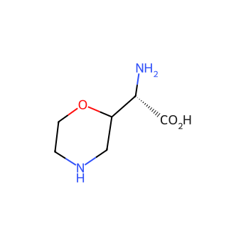 N[C@H](C(=O)O)C1CNCCO1